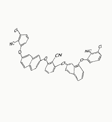 N#Cc1c(Cl)cccc1Oc1ccc2ccc(Oc3cccc(Oc4ccc5cccc(Oc6cccc(Cl)c6C#N)c5c4)c3C#N)cc2c1